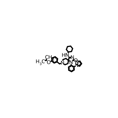 CC(C)Oc1cccc(CN2CCC3(CC2)C(NC2CCCCC2)=NC(=O)N3c2ccccc2-n2cccn2)c1